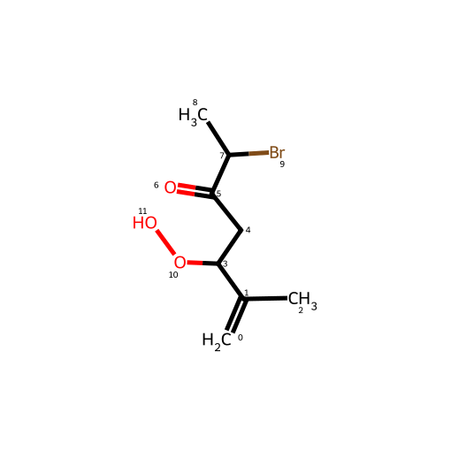 C=C(C)C(CC(=O)C(C)Br)OO